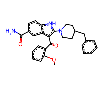 COc1ccccc1C(=O)c1c(N2CCC(Cc3ccccc3)CC2)[nH]c2ccc(C(N)=O)cc12